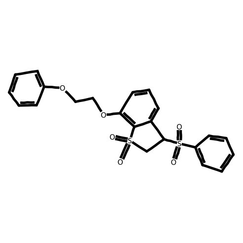 O=S1(=O)CC(S(=O)(=O)c2ccccc2)c2cccc(OCCOc3ccccc3)c21